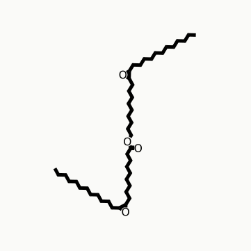 CCCCCCCCCCCCC1OC1CCCCCCCCCOC(=O)CCCCCCCCC1OC1CCCCCCCCCCCC